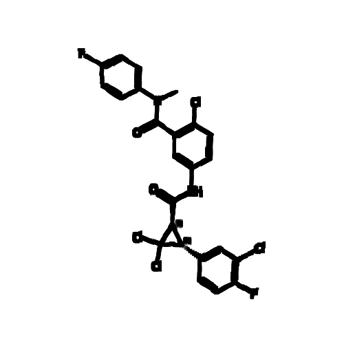 CN(C(=O)c1cc(NC(=O)[C@H]2[C@H](c3ccc(F)c(Cl)c3)C2(Cl)Cl)ccc1Cl)c1ccc(F)cc1